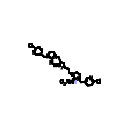 O=[N+]([O-])/N=C1\N(CCCCCCN2CCN(Cc3ccc(Cl)nc3)/C2=N/[N+](=O)[O-])CCN1Cc1ccc(Cl)nc1